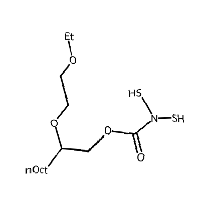 CCCCCCCCC(COC(=O)N(S)S)OCCOCC